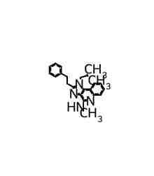 CNc1nc2ccccc2c2c1nc(CCc1ccccc1)n2CC(C)C